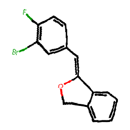 Fc1ccc(/C=C2\OCc3ccccc32)cc1Br